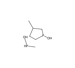 CC1CCP(O)C1.CPO